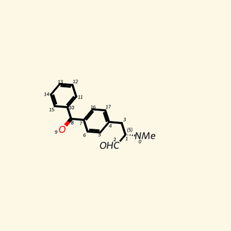 CN[C@H](C=O)Cc1ccc(C(=O)c2ccccc2)cc1